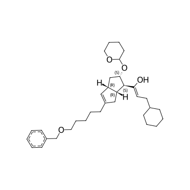 OC(=CCC1CCCCC1)[C@H]1[C@@H]2CC(CCCCCOCc3ccccc3)=C[C@@H]2C[C@@H]1OC1CCCCO1